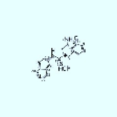 Cl.NCCN(Cc1cccc(Cl)c1)C(=S)Nc1ccc2cnccc2c1